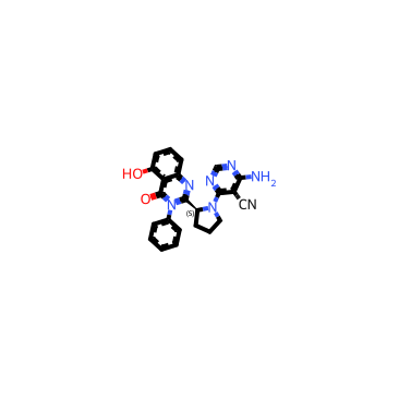 N#Cc1c(N)ncnc1N1CCC[C@H]1c1nc2cccc(O)c2c(=O)n1-c1ccccc1